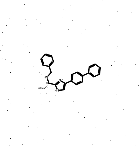 CCCCCC[C@H](NCc1ccccc1)c1nc(-c2ccc(-c3ccccc3)cc2)c[nH]1